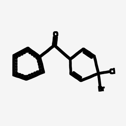 O=C(c1ccccc1)C1C=CC(Cl)(Br)C=C1